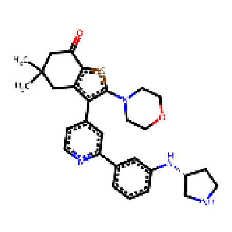 CC1(C)CC(=O)c2sc(N3CCOCC3)c(-c3ccnc(-c4cccc(N[C@@H]5CCNC5)c4)c3)c2C1